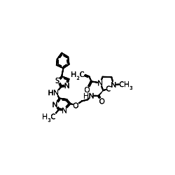 C=CC(=O)N1CCN(C)C[C@H]1C(=O)NCCOc1cc(Nc2ncc(-c3ccccc3)s2)nc(C)n1